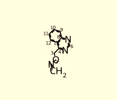 C=NOCc1ncnc2ccccc12